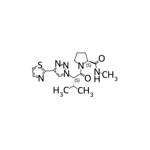 CNC(=O)[C@@H]1CCCN1C(=O)[C@H](C(C)C)n1cc(-c2nccs2)nn1